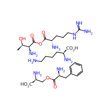 C[C@@H](O)[C@H](N)C(=O)OC(=O)[C@@H](N)CCCNC(=N)N.NCCCC[C@H](N)C(=O)O.N[C@@H](COC(=O)[C@@H](N)Cc1ccccc1)C(=O)O